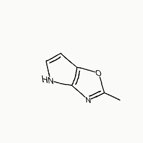 Cc1nc2[nH]ccc2o1